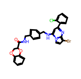 O=C(NCc1ccc(CNc2cc(-c3ccccc3Cl)nc3c(Br)ccn23)cc1)C1COc2ccccc2O1